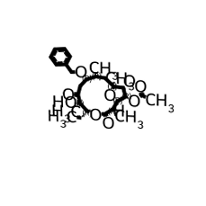 CC[C@H]1OC(=O)[C@H](C)[C@H]2O[C@@](C)(C[C@@H](C)[C@H](OCc3ccccc3)CC(=O)[C@]1(C)O)C(=O)[C@@H]2OC(C)=O